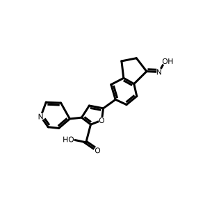 O=C(O)c1oc(-c2ccc3c(c2)CCC3=NO)cc1-c1ccncc1